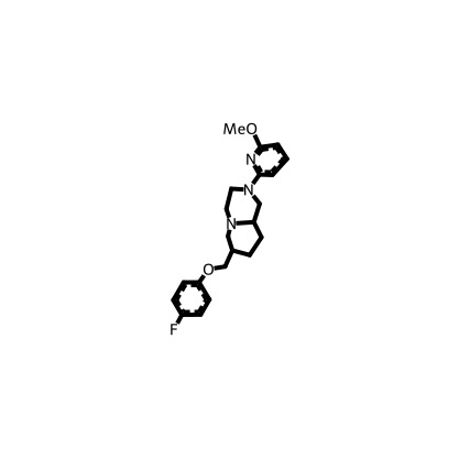 COc1cccc(N2CCN3CC(COc4ccc(F)cc4)CCC3C2)n1